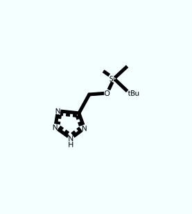 CC(C)(C)[Si](C)(C)OCc1nn[nH]n1